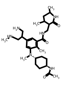 CNCC(CN)c1cc(C(=O)NCC2C(=O)NC(C)CC2C)c(C)c(N(C)[C@H]2CC[C@H](NC(C)=O)CC2)c1